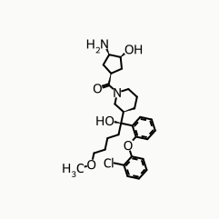 COCCCC[C@@](O)(c1ccccc1Oc1ccccc1Cl)[C@@H]1CCCN(C(=O)[C@H]2C[C@@H](N)[C@@H](O)C2)C1